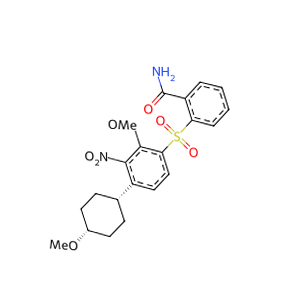 COc1c(S(=O)(=O)c2ccccc2C(N)=O)ccc([C@H]2CC[C@@H](OC)CC2)c1[N+](=O)[O-]